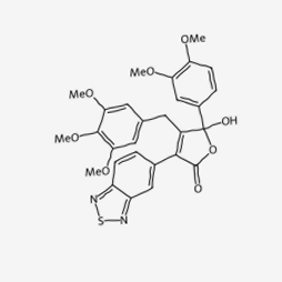 COc1ccc(C2(O)OC(=O)C(c3ccc4nsnc4c3)=C2Cc2cc(OC)c(OC)c(OC)c2)cc1OC